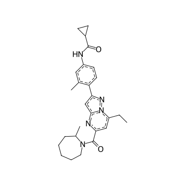 CCc1cc(C(=O)N2CCCCCC2C)nc2cc(-c3ccc(NC(=O)C4CC4)cc3C)nn12